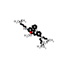 COC(=O)C1=Cc2cc(N(CCCN(C)C)CCCN(C)C)ccc2OC1(c1ccccc1)c1ccc(NCCCCN(C)C)cc1